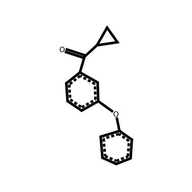 O=C(c1cccc(Oc2ccccc2)c1)C1CC1